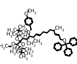 CCOC(=O)C(C[C@H](C)[C@@H](OCc1ccc(OC)cc1)[C@@H](C)C=CCCC[C@@H](C)C=CCOC(c1ccccc1)(c1ccccc1)c1ccccc1)(O[Si](C)(C)C(C)(C)C)O[Si](C)(C)C(C)(C)C